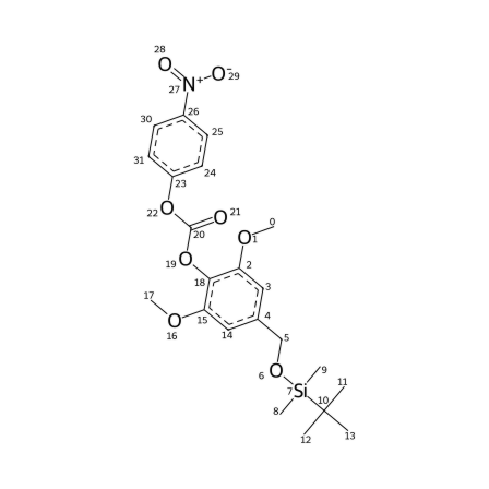 COc1cc(CO[Si](C)(C)C(C)(C)C)cc(OC)c1OC(=O)Oc1ccc([N+](=O)[O-])cc1